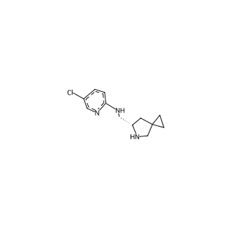 Clc1ccc(NC[C@@H]2CC3(CC3)CN2)nc1